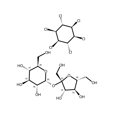 Cl[C@H]1[C@H](Cl)[C@@H](Cl)[C@@H](Cl)[C@H](Cl)[C@H]1Cl.OC[C@H]1O[C@@](CO)(O[C@H]2O[C@H](CO)[C@@H](O)[C@H](O)[C@H]2O)[C@@H](O)[C@@H]1O